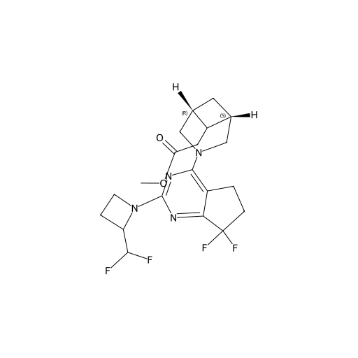 COC(=O)CC1[C@@H]2C[C@H]1CN(c1nc(N3CCC3C(F)F)nc3c1CCC3(F)F)C2